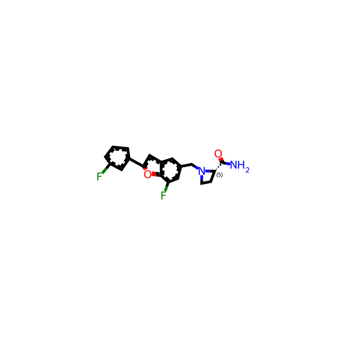 NC(=O)[C@@H]1CCN1Cc1cc(F)c2oc(-c3cccc(F)c3)cc2c1